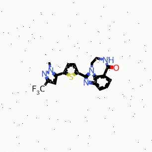 Cn1nc(C(F)(F)F)cc1-c1ccc(-c2nc3cccc4c3n2CCNC4=O)s1